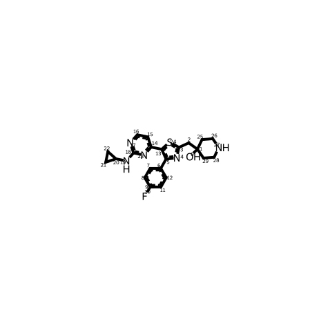 OC1(Cc2nc(-c3ccc(F)cc3)c(-c3ccnc(NC4CC4)n3)s2)CCNCC1